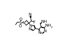 CCS(=O)(=O)N1CC(C(F)C#N)(n2cc(-c3ncnc(N)c3C=N)cn2)C1